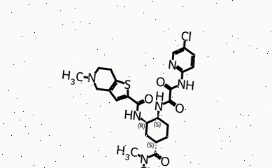 CN1CCc2sc(C(=O)N[C@@H]3C[C@@H](C(=O)N(C)C)CC[C@@H]3NC(=O)C(=O)Nc3ccc(Cl)cn3)cc2C1